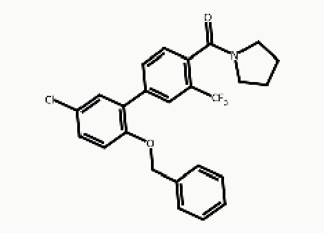 O=C(c1ccc(-c2cc(Cl)ccc2OCc2ccccc2)cc1C(F)(F)F)N1CCCC1